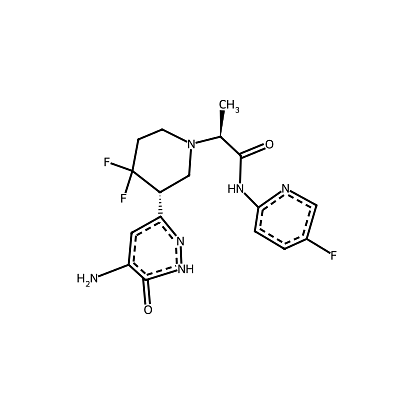 C[C@@H](C(=O)Nc1ccc(F)cn1)N1CCC(F)(F)[C@@H](c2cc(N)c(=O)[nH]n2)C1